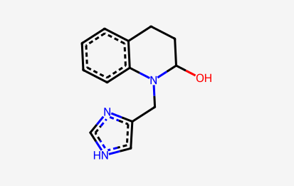 OC1CCc2ccccc2N1Cc1c[nH]cn1